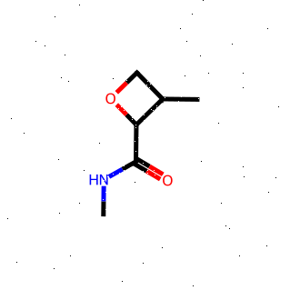 CNC(=O)C1OC[C]1C